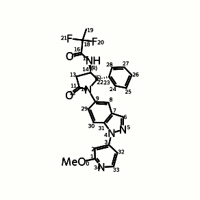 COc1cc(-n2ncc3cc(N4C(=O)C[C@@H](NC(=O)C(C)(F)F)[C@@H]4c4ccccc4)ccc32)ccn1